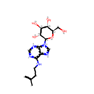 C=C(C)CCNc1ncnc2c1ncn2C1O[C@H](CO)[C@@H](O)[C@H](O)[C@H]1O